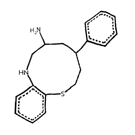 NC1CNc2ccccc2SCCC(c2ccccc2)C1